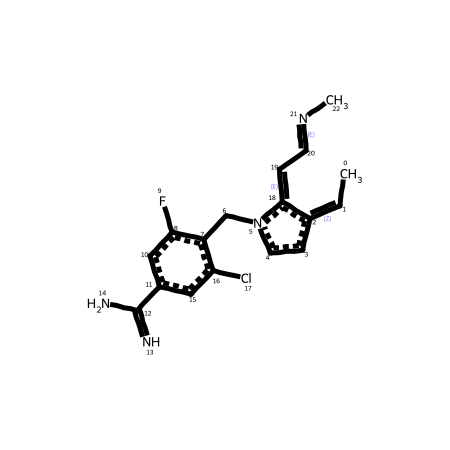 C/C=c1/ccn(Cc2c(F)cc(C(=N)N)cc2Cl)/c1=C/C=N/C